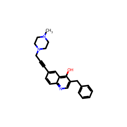 CN1CCN(CC#Cc2ccc3ncc(Cc4ccccc4)c(O)c3c2)CC1